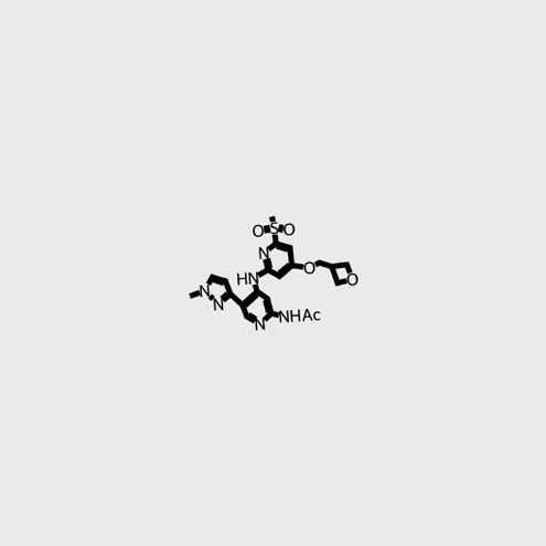 CC(=O)Nc1cc(Nc2cc(OCC3COC3)cc(S(C)(=O)=O)n2)c(-c2ccn(C)n2)cn1